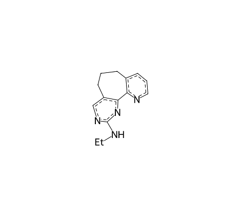 CCNc1ncc2c(n1)-c1ncccc1CCC2